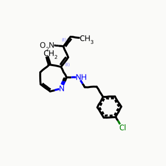 C=C1CC=CN=C(NCCc2ccc(Cl)cc2)/C1=C/C(=C\C)[N+](=O)[O-]